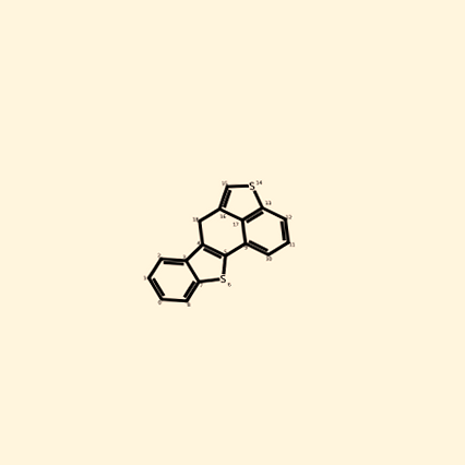 c1ccc2c3c(sc2c1)-c1cccc2scc(c12)C3